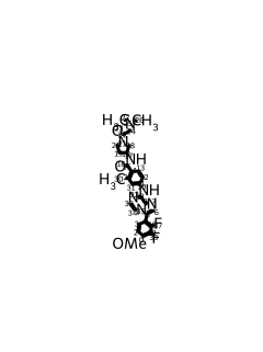 COc1ccc(-c2cnc3c(Nc4ccc(C(=O)N[C@@H]5CCN(C(=O)CN(C)C)C5)c(C)c4)nccn23)c(F)c1F